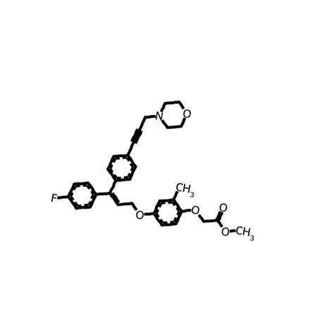 COC(=O)COc1ccc(OC/C=C(/c2ccc(F)cc2)c2ccc(C#CCN3CCOCC3)cc2)cc1C